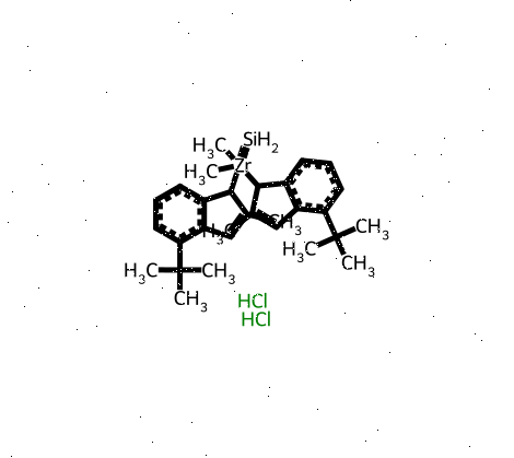 CC1=Cc2c(cccc2C(C)(C)C)[CH]1[Zr]([CH3])([CH3])(=[SiH2])[CH]1C(C)=Cc2c1cccc2C(C)(C)C.Cl.Cl